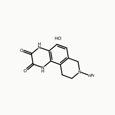 CCCN1CCc2c(ccc3[nH]c(=O)c(=O)[nH]c23)C1.Cl